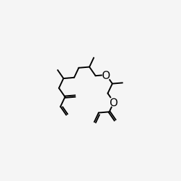 C=CC(=C)CC(C)CCC(C)COC(C)COC(=C)C=C